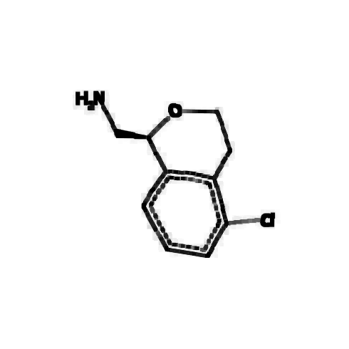 NC[C@H]1OCCc2c(Cl)cccc21